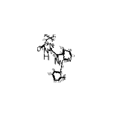 O=c1[nH]c(-c2nn(Cc3ccccc3F)c3ncccc23)nn1CC(F)(F)F